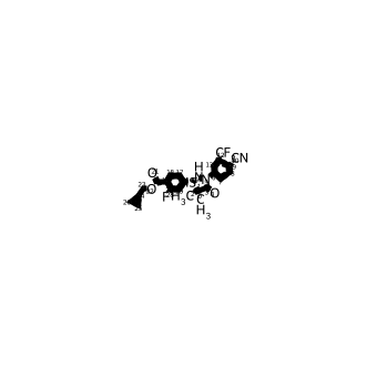 CC1(C)C(=O)N(c2ccc(C#N)c(C(F)(F)F)c2)N[SH]1c1ccc(C(=O)OCC2CC2)c(F)c1